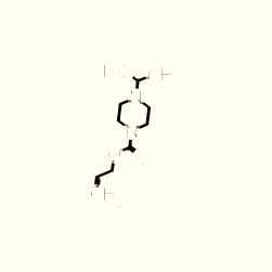 C=CCOC(=O)N1CCN(C(C)O)CC1